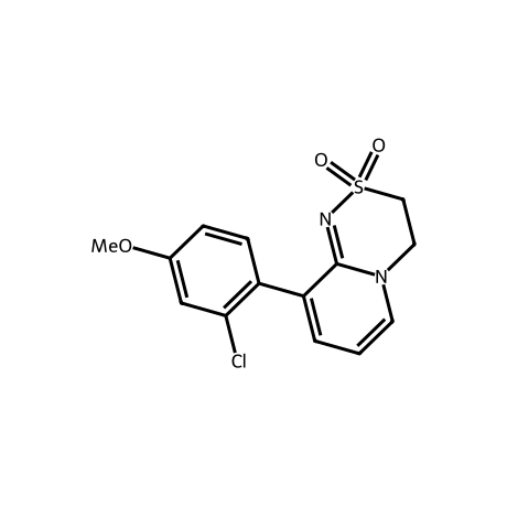 COc1ccc(C2=CC=CN3CCS(=O)(=O)N=C23)c(Cl)c1